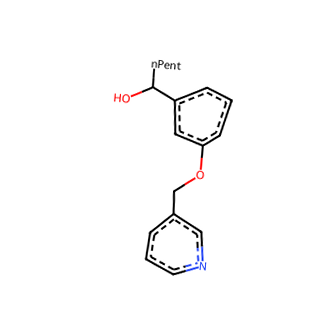 CCCCCC(O)c1cccc(OCc2cccnc2)c1